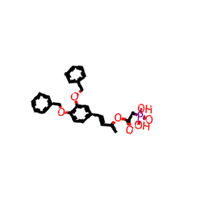 CC(/C=C/c1ccc(OCc2ccccc2)c(OCc2ccccc2)c1)OC(=O)CP(=O)(O)O